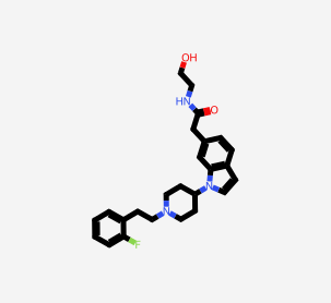 O=C(Cc1ccc2ccn(C3CCN(CCc4ccccc4F)CC3)c2c1)NCCO